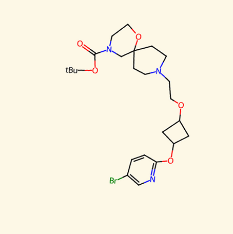 CC(C)(C)OC(=O)N1CCOC2(CCN(CCOC3CC(Oc4ccc(Br)cn4)C3)CC2)C1